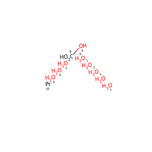 O.O.O.O.O.O.O.O.O=C(O)O.[Pr]